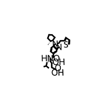 CC(C)C[C@H](NC(=O)c1ccc2c(c1)nc(Cc1cccs1)n2[C@@H]1CCCC[C@H]1C)[C@@H](O)CC(=O)O